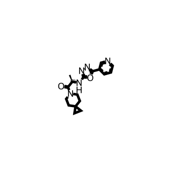 C[C@@H](Nc1nnc(-c2cccnc2)o1)C(=O)N1CCC2(CC1)CC2